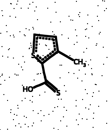 Cc1ccsc1C(O)=S